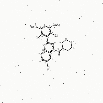 COc1cc(OC)c(Cl)c(-c2cc3cnc(Cl)cc3c(NC3CCOCC3)n2)c1Cl